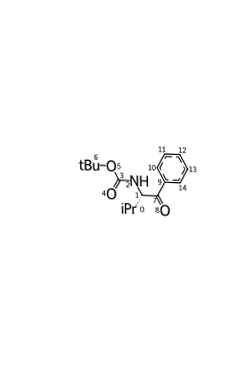 CC(C)[C@H](NC(=O)OC(C)(C)C)C(=O)c1ccccc1